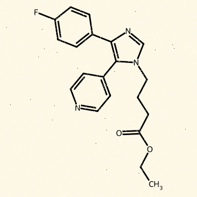 CCOC(=O)CCCn1cnc(-c2ccc(F)cc2)c1-c1ccncc1